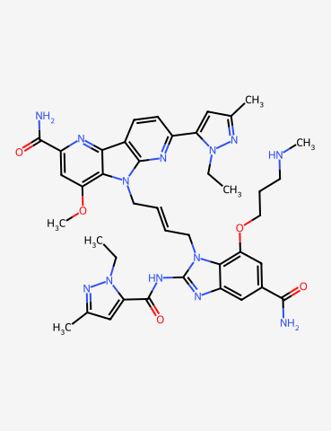 CCn1nc(C)cc1C(=O)Nc1nc2cc(C(N)=O)cc(OCCCNC)c2n1C/C=C/Cn1c2nc(-c3cc(C)nn3CC)ccc2c2nc(C(N)=O)cc(OC)c21